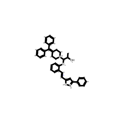 CC(O)C(Oc1ccccc1/C=C/c1cc(-c2ccccc2)no1)N1CCC(=C(c2ccccc2)c2ccccc2)CC1